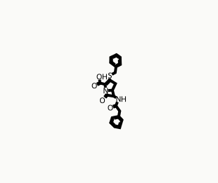 O=C(Cc1ccccc1)NC1C(=O)N2C(C(=O)O)=C(SCc3ccccc3)CC12